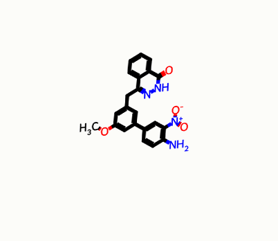 COc1cc(Cc2n[nH]c(=O)c3ccccc23)cc(-c2ccc(N)c([N+](=O)[O-])c2)c1